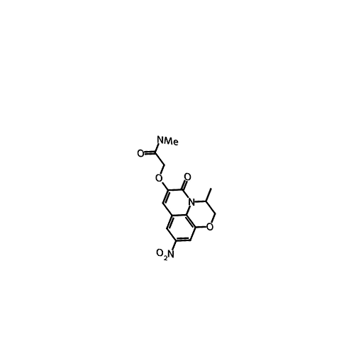 CNC(=O)COc1cc2cc([N+](=O)[O-])cc3c2n(c1=O)C(C)CO3